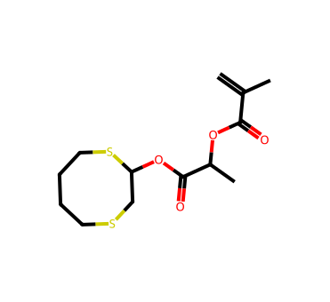 C=C(C)C(=O)OC(C)C(=O)OC1CSCCCCS1